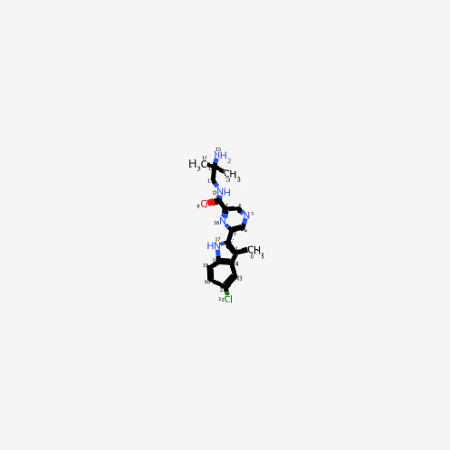 Cc1c(-c2cncc(C(=O)NCC(C)(C)N)n2)[nH]c2ccc(Cl)cc12